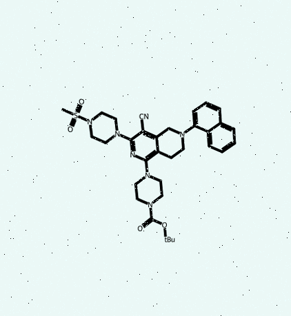 CC(C)(C)OC(=O)N1CCN(c2nc(N3CCN(S(C)(=O)=O)CC3)c(C#N)c3c2CCN(c2cccc4ccccc24)C3)CC1